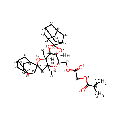 C=C(C)C(=O)OCC(=O)OC[C@H]1O[C@@H]2CC3(O[C@@H]2[C@H]2OC4(O[C@H]21)C1CC2CC(C1)CC4C2)C1CC2CC(C1)CC3C2